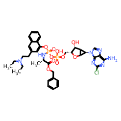 CCN(CC)CCc1cc(OP(=O)(N[C@@H](C)C(=O)OCc2ccccc2)OP(=O)(O)OC[C@H]2OC3C([C@@H]3n3cnc4c(N)nc(Cl)nc43)[C@H]2O)c2ccccc2c1